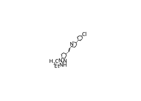 CCNc1nc2cc(C#Cc3ccc(-c4ccc(Cl)cc4)cn3)ccc2n1C